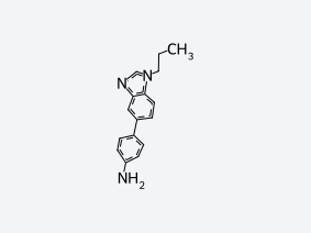 CCCn1cnc2cc(-c3ccc(N)cc3)ccc21